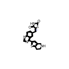 O=C1NC(=O)/C(=C\c2ccc3ncnc(-c4cc5c(s4)CCNC5)c3c2)S1